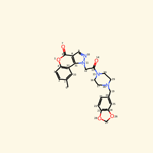 Cc1ccc2oc(=O)c3cnn(CC(=O)N4CCN(Cc5ccc6c(c5)OCO6)CC4)c3c2c1